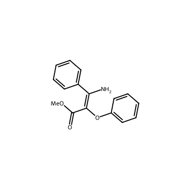 COC(=O)C(Oc1ccccc1)=C(N)c1ccccc1